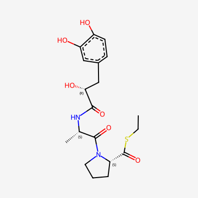 CCSC(=O)[C@@H]1CCCN1C(=O)[C@H](C)NC(=O)[C@H](O)Cc1ccc(O)c(O)c1